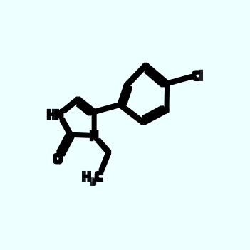 CCn1c(-c2ccc(Cl)cc2)c[nH]c1=O